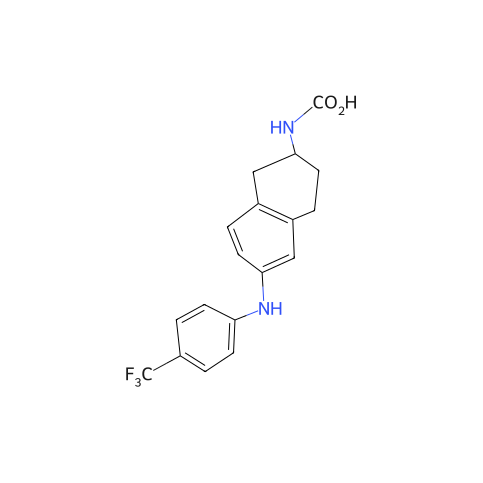 O=C(O)NC1CCc2cc(Nc3ccc(C(F)(F)F)cc3)ccc2C1